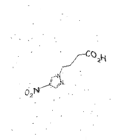 O=C(O)CCCn1cc([N+](=O)[O-])cn1